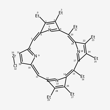 CCC1=C(CC)C2=NC1=CC1=NC(=CC3=NC(=C(CC)C4=NC(=C2CC)C(CC)=C4CC)C(CC)=C3CC)C=C1.[Cl][Zr]